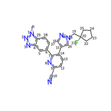 Cn1nnc2cc(-c3nc(C#N)ccc3-c3cnn(CC4(F)CCCC4)c3)ccc21